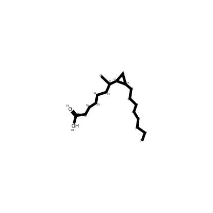 CCCCCCCCC1CC1C(C)CCCCCC(=O)O